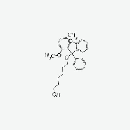 COc1ccccc1C(OCCCCCCO)(c1ccccc1)c1ccccc1OC